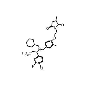 Cc1cc(CN(CC2CCCCC2)[C@H](CC(=O)O)c2ccc(Cl)c(F)c2)ccc1OCCN1C(=O)CN(C)C1=O